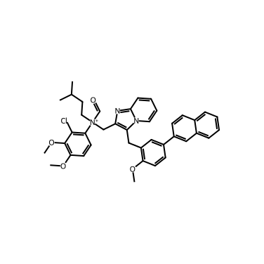 COc1ccc(-c2ccc3ccccc3c2)cc1Cc1c(C[N+](C=O)(CCC(C)C)c2ccc(OC)c(OC)c2Cl)nc2ccccn12